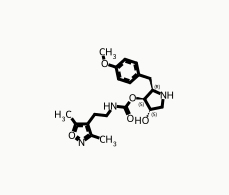 COc1ccc(C[C@H]2NC[C@H](O)[C@H]2OC(=O)NCCc2c(C)noc2C)cc1